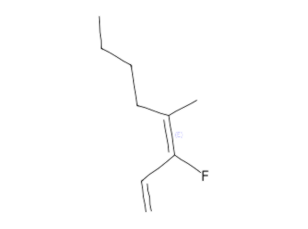 C=C/C(F)=C(/C)CCCC